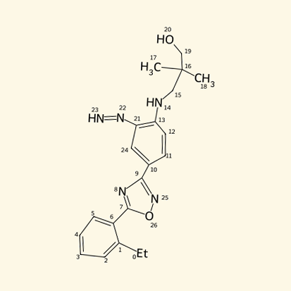 CCc1ccccc1-c1nc(-c2ccc(NCC(C)(C)CO)c(N=N)c2)no1